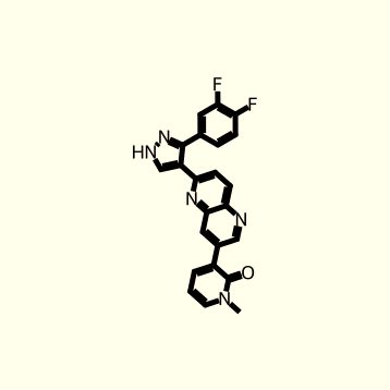 Cn1cccc(-c2cnc3ccc(-c4c[nH]nc4-c4ccc(F)c(F)c4)nc3c2)c1=O